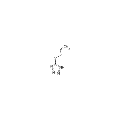 C=CCSc1nnn[nH]1